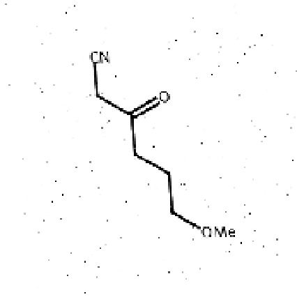 COCCCC(=O)CC#N